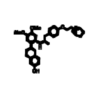 COc1cc(NC(C)Cc2ccc(OCCN3C4CCC3CC4)cc2)c(C2CCc3cc(O)ccc3C2)cc1OC